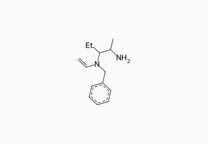 [CH2]CC(C(C)N)N(C=C)Cc1ccccc1